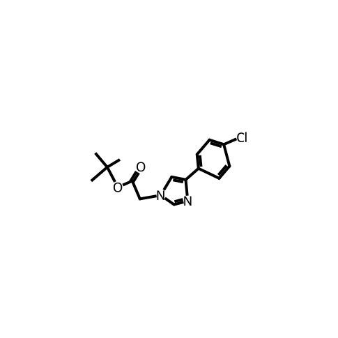 CC(C)(C)OC(=O)Cn1cnc(-c2ccc(Cl)cc2)c1